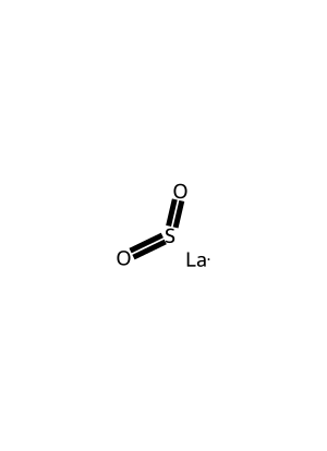 O=S=O.[La]